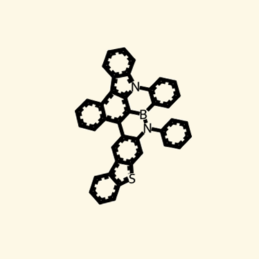 c1ccc(N2B3c4ccccc4-n4c5ccccc5c5c6ccccc6c(c3c54)-c3cc4c(cc32)sc2ccccc24)cc1